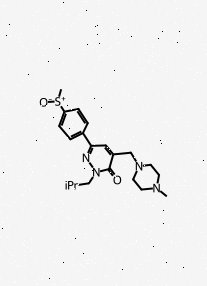 CC(C)Cn1nc(-c2ccc([S+](C)[O-])cc2)cc(CN2CCN(C)CC2)c1=O